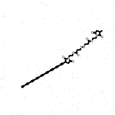 C#CC#CC#CC#CC#CC#CC#CC#CC#CC1CC(=O)N(CCOC(=O)CCSSCCC(=O)OCCN2C(=O)CC(C)C2=O)C1=O